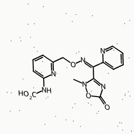 Cn1oc(=O)nc1/C(=N\OCc1cccc(NC(=O)O)n1)c1ccccn1